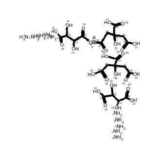 N.N.N.N.N.N.N.N.N.N.O=C(O)C(O)C(O)C(=O)O.O=C(O)C(O)C(O)C(=O)O.O=C(O)CC(O)(CC(=O)O)C(=O)O.O=C(O)CC(O)(CC(=O)O)C(=O)O